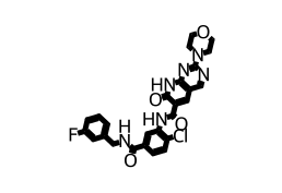 O=C(NCc1cccc(F)c1)c1ccc(Cl)c(NC(=O)c2cc3cnc(N4CCOCC4)nc3[nH]c2=O)c1